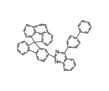 c1ccc(-c2ccc(-c3nc(-c4ccc5c(c4)C4(c6ccccc6-5)c5cccc6ccc7cccc4c7c56)nc4ccccc34)cc2)cc1